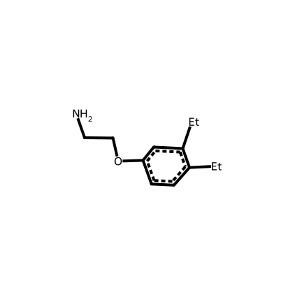 CCc1ccc(OCCN)cc1CC